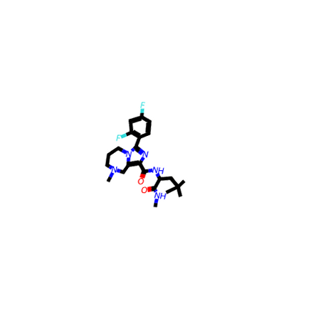 CNC(=O)C(CC(C)(C)C)NC(=O)c1nc(-c2ccc(F)cc2F)n2c1CN(C)CCC2